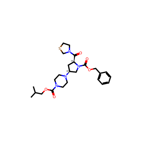 CC(C)COC(=O)N1CCN([C@H]2C[C@@H](C(=O)N3CCSC3)N(C(=O)OCc3ccccc3)C2)CC1